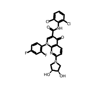 O=C(Nc1c(Cl)cccc1Cl)c1cn(-c2ccc(F)cc2F)c2nc(N3C[C@@H](O)[C@@H](O)C3)ccc2c1=O